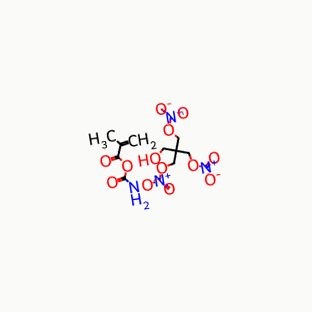 C=C(C)C(=O)OC(N)=O.O=[N+]([O-])OCC(CO)(CO[N+](=O)[O-])CO[N+](=O)[O-]